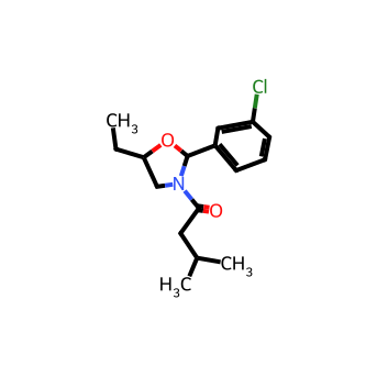 CCC1CN(C(=O)CC(C)C)C(c2cccc(Cl)c2)O1